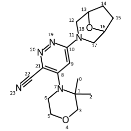 CC1(C)COCCN1c1cc(N2CC3CCC(C2)O3)nnc1C#N